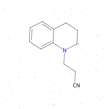 N#CCCN1[C]CCc2ccccc21